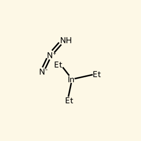 C[CH2][In]([CH2]C)[CH2]C.[N-]=[N+]=N